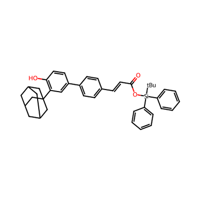 CC(C)(C)[Si](OC(=O)/C=C/c1ccc(-c2ccc(O)c(C34CC5CC(CC(C5)C3)C4)c2)cc1)(c1ccccc1)c1ccccc1